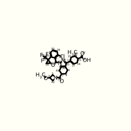 COC1CN(C(=O)C2CCc3c(C4=CCC(C(=O)O)[C@@H](C)C4)nn(C(=O)c4c(Cl)cccc4C4(C(F)(F)F)CC4)c3C2)C1